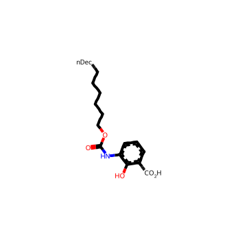 CCCCCCCCCCCCCCCCOC(=O)Nc1cccc(C(=O)O)c1O